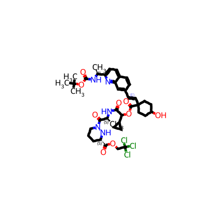 C[C@H](NC(=O)C(OC(=O)C1(/C=C/c2ccc3ccc([C@@H](C)NC(=O)OC(C)(C)C)nc3c2)CCC(O)CC1)C1CC1)C(=O)N1CCC[C@@H](C(=O)OCC(Cl)(Cl)Cl)N1